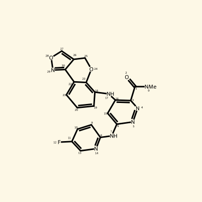 CNC(=O)c1nnc(Nc2ccc(F)cn2)cc1Nc1cccc2c1OCc1conc1-2